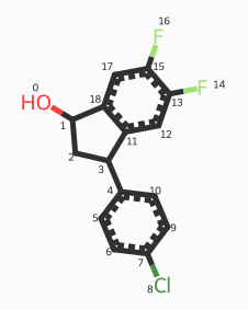 OC1CC(c2ccc(Cl)cc2)c2cc(F)c(F)cc21